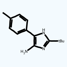 Cc1ccc(-c2[nH]c(C(C)(C)C)nc2N)cc1